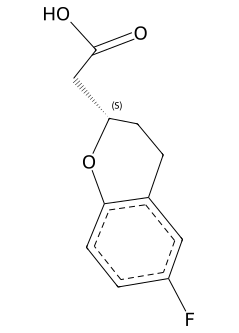 O=C(O)C[C@@H]1CCc2cc(F)ccc2O1